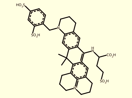 CC1(C)c2cc3c(cc2C(NC(CCS(=O)(=O)O)C(=O)O)=c2cc4c5c(c21)CCC[N+]=5CCC4)CCCN3Cc1ccc(S(=O)(=O)O)cc1S(=O)(=O)O